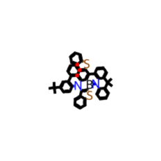 CC(C)(C)c1ccc(N2c3cc4c(sc5ccccc54)c4c3B(c3sc5ccccc5c32)N2c3ccccc3C(C)(C)c3cccc-4c32)c(-c2ccccc2)c1